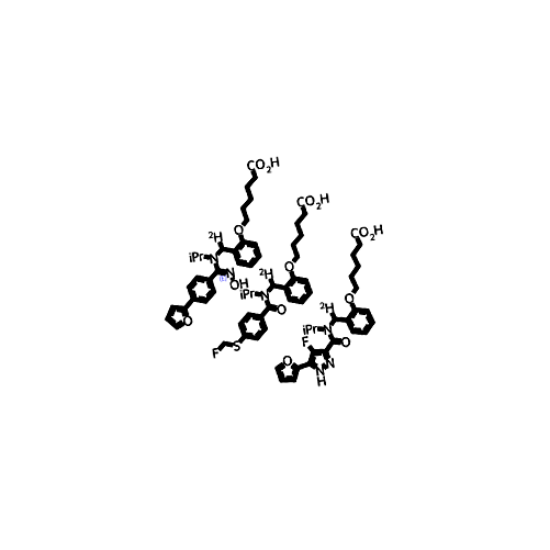 [2H]C(c1ccccc1OCCCCCC(=O)O)N(/C(=N/O)c1ccc(-c2ccco2)cc1)C(C)C.[2H]C(c1ccccc1OCCCCCC(=O)O)N(C(=O)c1ccc(SCF)cc1)C(C)C.[2H]C(c1ccccc1OCCCCCC(=O)O)N(C(=O)c1n[nH]c(-c2ccco2)c1F)C(C)C